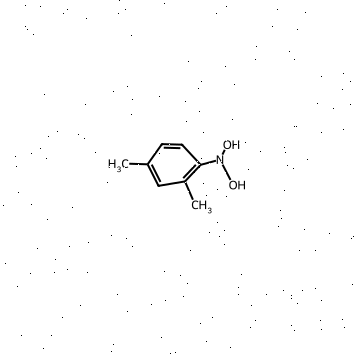 Cc1ccc(N(O)O)c(C)c1